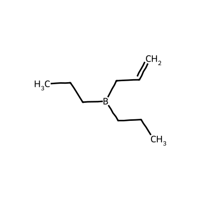 C=CCB(CCC)CCC